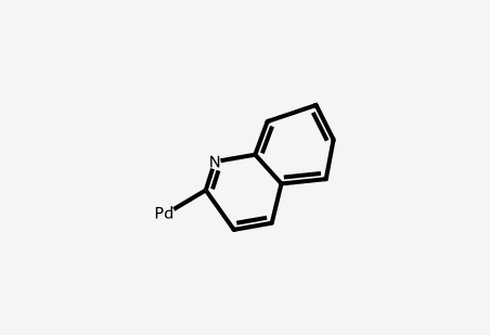 [Pd][c]1ccc2ccccc2n1